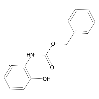 O=C(Nc1[c]cccc1O)OCc1ccccc1